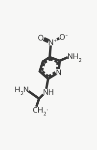 [CH2]C(N)Nc1ccc([N+](=O)[O-])c(N)n1